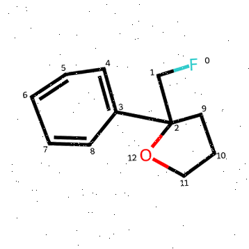 FCC1(c2ccccc2)CCCO1